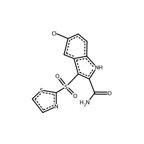 NC(=O)c1[nH]c2ccc(Cl)cc2c1S(=O)(=O)c1nccs1